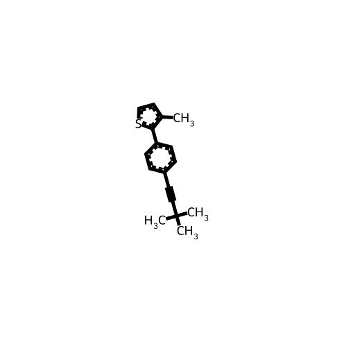 Cc1ccsc1-c1ccc(C#CC(C)(C)C)cc1